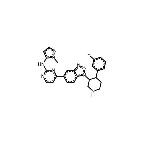 Cn1nccc1Nc1nccc(-c2ccc3c(c2)nnn3C2CNCCC2c2cccc(F)c2)n1